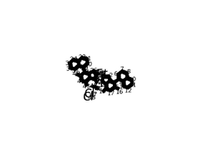 CCC1=Cc2c(-c3cccc4ccccc34)c(C)cc(C)c2[CH]1[Zr+2]1([CH]2C(CC)=Cc3c(-c4cccc5ccccc45)c(C)cc(C)c32)[CH2][CH2]1.[Cl-].[Cl-]